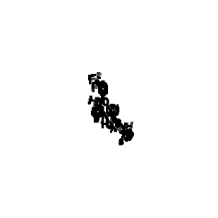 CCN1CCCC1CNc1cc(-c2cncnc2Nc2cc(NC(=O)c3cccc(C(F)(F)F)c3)ccc2C)ncn1